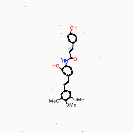 COc1cc(C=Cc2ccc(NC(=O)/C=C/c3ccc(O)cc3)c(O)c2)cc(OC)c1OC